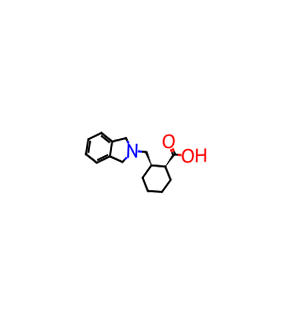 O=C(O)[C@H]1CCCC[C@H]1CN1Cc2ccccc2C1